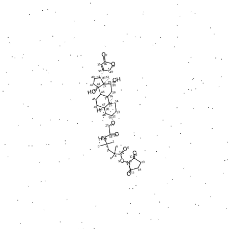 CC(C)(CC(C)(C)C(=O)ON1C(=O)CCC1=O)NC(=O)CO[C@H]1CC[C@]2(C)C3C[C@@H](O)[C@]4(C)[C@@H](C5=CC(=O)OC5)CC[C@]4(O)C3CC[C@@H]2C1